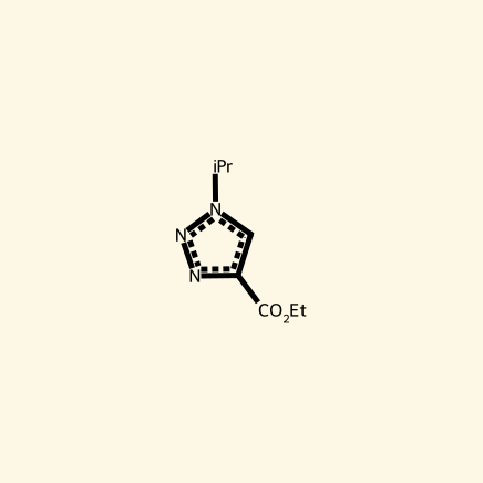 CCOC(=O)c1cn(C(C)C)nn1